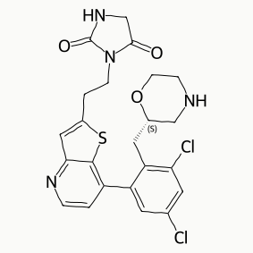 O=C1CNC(=O)N1CCc1cc2nccc(-c3cc(Cl)cc(Cl)c3C[C@H]3CNCCO3)c2s1